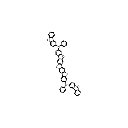 c1ccc(N(c2ccc3c(c2)oc2cc4c(cc23)oc2cc3c(cc24)oc2cc(N(c4ccccc4)c4ccc5oc6ccccc6c5c4)ccc23)c2ccc3oc4ccccc4c3c2)cc1